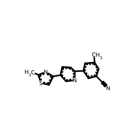 Cc1cc(C#N)cc(-c2ccc(-c3csc(C)n3)cn2)c1